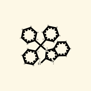 CCc1nc2ccccc2n1C(c1ccccc1)(c1ccccc1)c1ccccc1